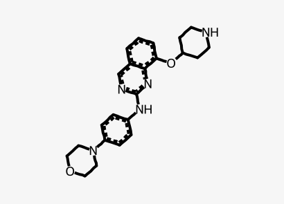 c1cc(OC2CCNCC2)c2nc(Nc3ccc(N4CCOCC4)cc3)ncc2c1